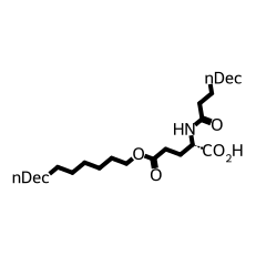 CCCCCCCCCCCCCCCCOC(=O)CC[C@H](NC(=O)CCCCCCCCCCCC)C(=O)O